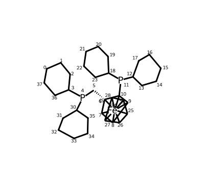 C1CCC(P(C[C@]23[CH]4[CH]5[CH]6[C]2(P(C2CCCCC2)C2CCCCC2)[Fe]56432789[CH]3[CH]2[CH]7[CH]8[CH]39)C2CCCCC2)CC1